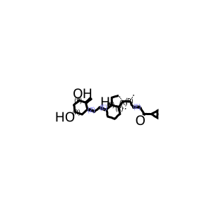 C=C1/C(=C\C=C2/CCC[C@]3(C)[C@@H]([C@H](C)/C=C/C(=O)C4CC4)CC[C@@H]23)C[C@@H](O)C[C@@H]1O